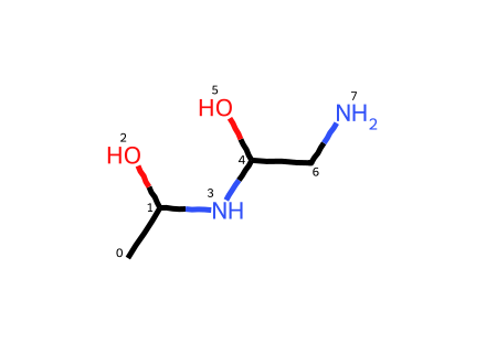 CC(O)NC(O)CN